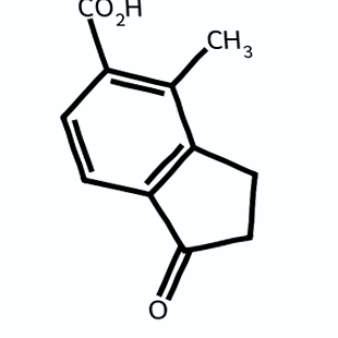 Cc1c(C(=O)O)ccc2c1CCC2=O